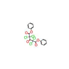 O=C(Oc1ccccc1)C(Cl)(Cl)C(=O)C(Cl)(Cl)C(=O)Oc1ccccc1